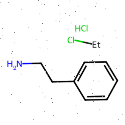 CCCl.Cl.NCCc1ccccc1